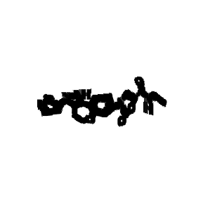 CCNC(=O)[C@H]1CN(c2ccc3c(c2)OCCc2c(-c4ccno4)n[nH]c2-3)C(=O)O1